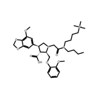 CCCCN(CCCC[N+](C)(C)C)C(=O)CN1C[C@H](c2cc(OC)c3c(c2)OCO3)[C@@H](C(=O)O)[C@@H]1COc1ccccc1OC